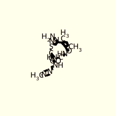 Cc1cc(C)c2cc1C(=O)NCCC(OC(=O)NCCN1CCN(C)CC1)NC(=O)CCSc1cc-2nc(N)n1